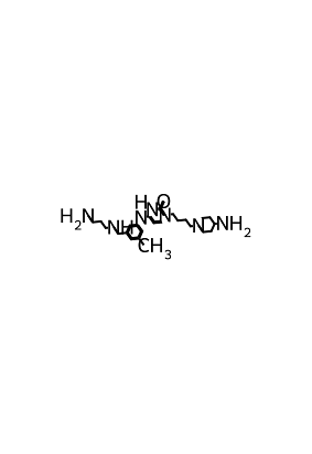 Cc1cc(CNCCCN)cc(Nc2ccn(CCCCN3CCC(N)CC3)c(=O)n2)c1